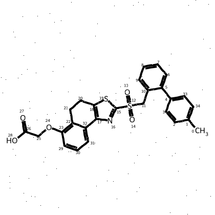 Cc1ccc(-c2ccccc2CS(=O)(=O)c2nc3c(s2)CCc2c(OCC(=O)O)cccc2-3)cc1